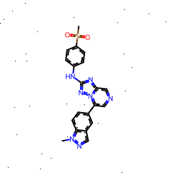 Cn1ncc2cc(-c3cncc4nc(Nc5ccc(S(C)(=O)=O)cc5)nn34)ccc21